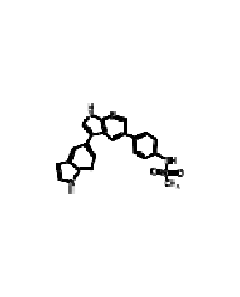 CS(=O)(=O)Nc1ccc(-c2cnc3[nH]cc(-c4ccc5[nH]ccc5c4)c3c2)cc1